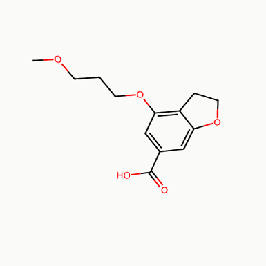 COCCCOc1cc(C(=O)O)cc2c1CCO2